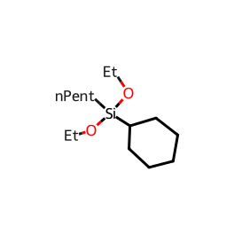 CCCCC[Si](OCC)(OCC)C1CCCCC1